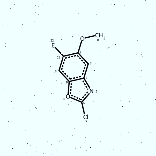 COc1cc2nc(Cl)oc2cc1F